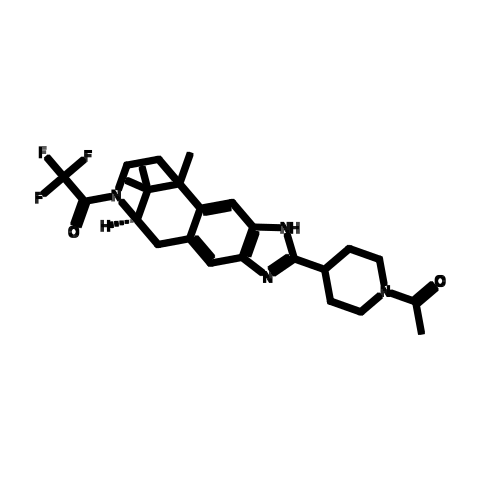 CC(=O)N1CCC(c2nc3cc4c(cc3[nH]2)C2(C)CCN(C(=O)C(F)(F)F)[C@H](C4)C2(C)C)CC1